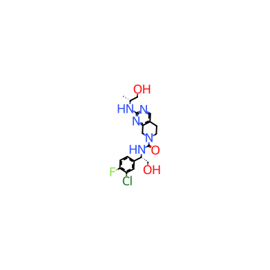 C[C@H](CO)Nc1ncc2c(n1)CN(C(=O)N[C@H](CO)c1ccc(F)c(Cl)c1)CC2